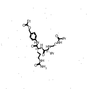 CCC(=O)OCc1ccc(NC(=O)[C@@H](CCCNC(N)=O)NC(=O)[C@H](NCCNC(=O)C(C)C)C(C)C)cc1